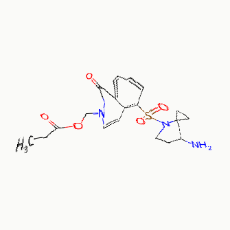 CCC(=O)OCn1ccc2c(S(=O)(=O)N3CCC(N)C34CC4)cccc2c1=O